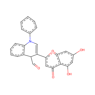 O=CC1C(c2cc(=O)c3c(O)cc(O)cc3o2)=CN(c2ccccc2)c2ccccc21